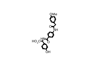 COc1ccc(CC(=O)Nc2ccc(C(=O)NC(C(=O)O)c3ccc(O)cc3)cc2)cc1